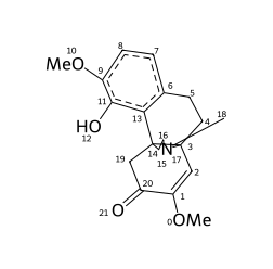 COC1=CC23CCc4ccc(OC)c(O)c4C2(CCN3C)CC1=O